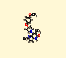 Cn1c(=O)c([N+](=O)[O-])c(N2CCC(Oc3ccc(OC(F)(F)F)cc3)CC2)c2nc(C#N)ccc21